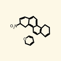 C1=CCOC=C1.O=[N+]([O-])C1C=Cc2ccc3c4c(ccc3c2C1)C=CCC4